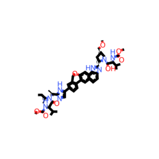 CC[C@H](C)N(C(=O)[C@@H](NC(=O)OC)C(C)C)[C@@H](C)c1ncc(-c2ccc3c(c2)COc2cc4c(ccc5nc([C@@H]6C[C@H](COC)CN6C(O)[C@@H](NC(=O)OC)C(C)C)[nH]c54)cc2-3)[nH]1